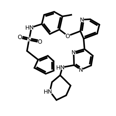 Cc1ccc(NS(=O)(=O)Cc2ccccc2)cc1Oc1ncccc1-c1ccnc(NC2CCCNC2)n1